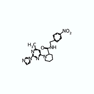 Cc1cc(N2CCCCC2C(=O)NCc2ccc([N+](=O)[O-])cc2)nc(-n2ccnc2)n1